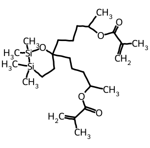 C=C(C)C(=O)OC(C)CCCC1(CCCC(C)OC(=O)C(=C)C)CC[Si](C)(C)[Si](C)(C)O1